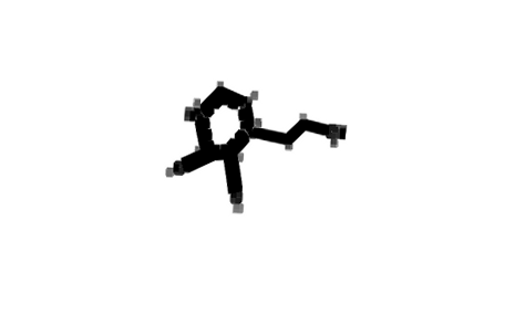 O=c1[nH][c]nn(CCO)c1=O